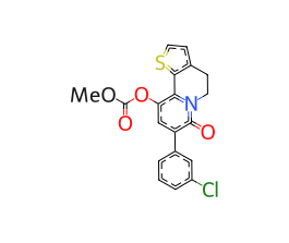 COC(=O)Oc1cc(-c2cccc(Cl)c2)c(=O)n2c1-c1sccc1CC2